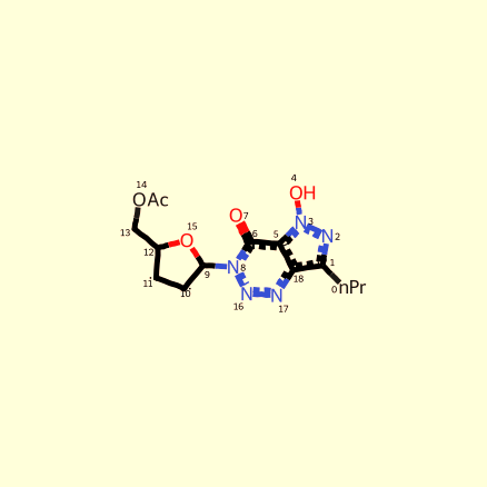 CCCc1nn(O)c2c(=O)n(C3[CH][CH]C(COC(C)=O)O3)nnc12